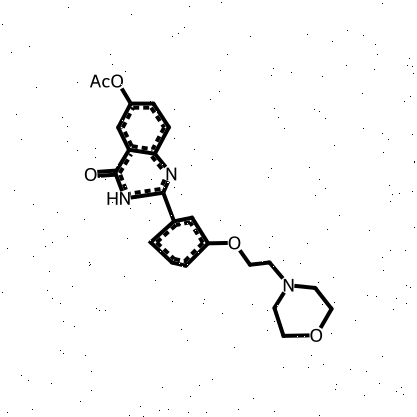 CC(=O)Oc1ccc2nc(-c3cccc(OCCN4CCOCC4)c3)[nH]c(=O)c2c1